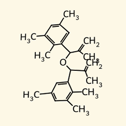 C=C(C)C(OC(C(=C)C)c1cc(C)cc(C)c1C)c1cc(C)cc(C)c1C